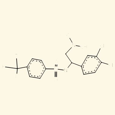 CN(C)CC(NS(=O)(=O)c1ccc(C(F)(F)F)cc1)c1ccc(Cl)c(Cl)c1